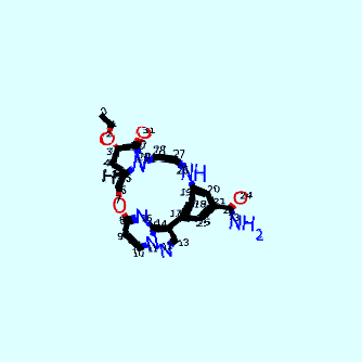 CCO[C@@H]1C[C@H]2COc3ccn4ncc(c4n3)-c3cc(cc(C(N)=O)c3)NCCN2C1=O